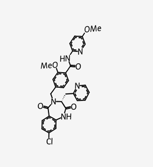 COc1ccc(NC(=O)c2ccc(CN3C(=O)c4ccc(Cl)cc4NC(=O)[C@H]3Cc3ccccn3)cc2OC)nc1